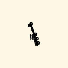 COC(=O)CCCSSCCCC(=O)NCNC(=O)OCOC(=O)C(C)C